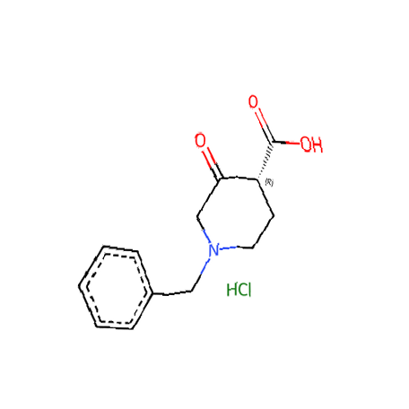 Cl.O=C(O)[C@@H]1CCN(Cc2ccccc2)CC1=O